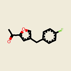 CC(=O)c1cc(Cc2ccc(F)cc2)co1